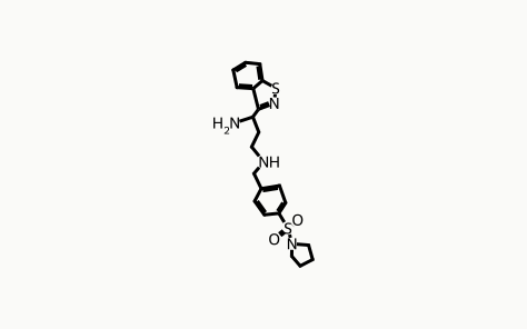 NC(CCNCc1ccc(S(=O)(=O)N2CCCC2)cc1)c1nsc2ccccc12